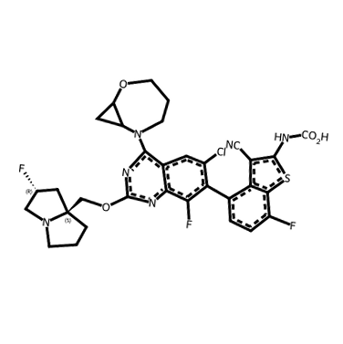 N#Cc1c(NC(=O)O)sc2c(F)ccc(-c3c(Cl)cc4c(N5CCCOC6CC65)nc(OC[C@@]56CCCN5C[C@H](F)C6)nc4c3F)c12